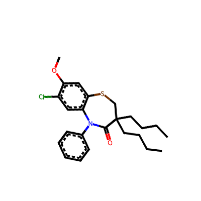 CCCCC1(CCCC)CSc2cc(OC)c(Cl)cc2N(c2ccccc2)C1=O